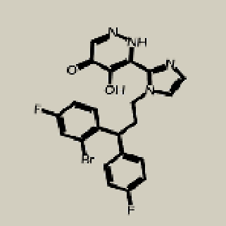 O=c1cn[nH]c(-c2nccn2CCC(c2ccc(F)cc2)c2ccc(F)cc2Br)c1O